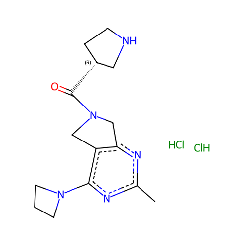 Cc1nc2c(c(N3CCC3)n1)CN(C(=O)[C@@H]1CCNC1)C2.Cl.Cl